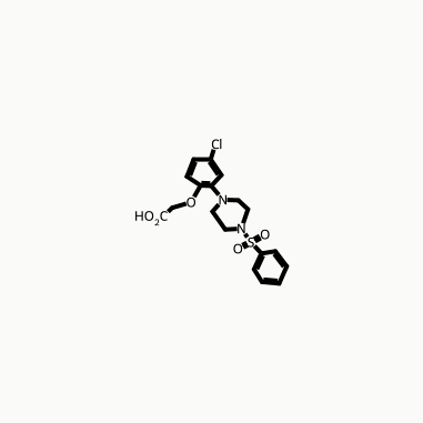 O=C(O)COc1ccc(Cl)cc1N1CCN(S(=O)(=O)c2ccccc2)CC1